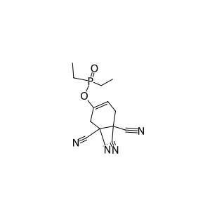 CCP(=O)(CC)OC1=CCC(C#N)(C#N)C(C#N)(C#N)C1